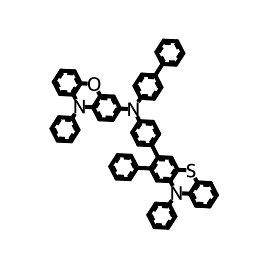 c1ccc(-c2ccc(N(c3ccc(-c4cc5c(cc4-c4ccccc4)N(c4ccccc4)c4ccccc4S5)cc3)c3ccc4c(c3)Oc3ccccc3N4c3ccccc3)cc2)cc1